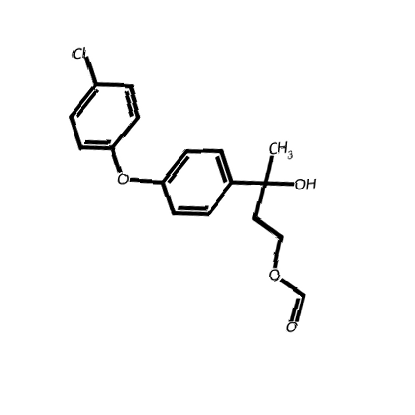 CC(O)(CCOC=O)c1ccc(Oc2ccc(Cl)cc2)cc1